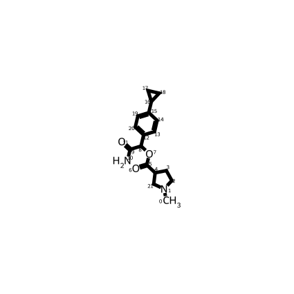 CN1CCC(C(=O)OC(C(N)=O)c2ccc(C3CC3)cc2)C1